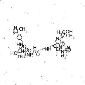 CCn1c(-c2nonc2N)nc2c(C#CC(C)(C)O)ncc(OCCCNCCCC(=O)NCC(=O)N[C@H](C(=O)N3C[C@H](O)C[C@H]3C(=O)NCc3ccc(-c4scnc4C)cc3)C(C)(C)C)c21